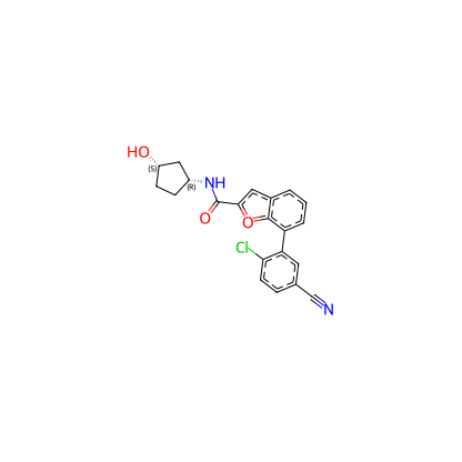 N#Cc1ccc(Cl)c(-c2cccc3cc(C(=O)N[C@@H]4CC[C@H](O)C4)oc23)c1